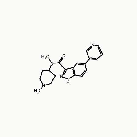 CN1CCC(N(C)C(=O)c2n[nH]c3ccc(-c4cccnc4)cc23)CC1